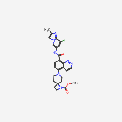 Cc1cn2cc(NC(=O)c3ccc(N4CCC5(CC4)CCN5C(=O)OC(C)(C)C)c4ccnnc34)cc(F)c2n1